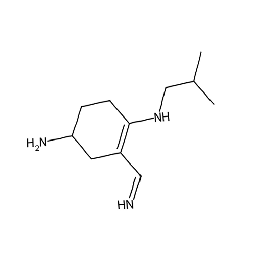 CC(C)CNC1=C(C=N)CC(N)CC1